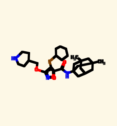 CC12CC3CC(C)(C1)CC(NC(=O)c1onc(OCC4CCNCC4)c1SC1CCCCC1)(C3)C2